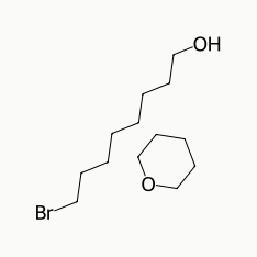 C1CCOCC1.OCCCCCCCCBr